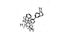 CN1C(=O)C(c2ccccc2)(c2cccc(-c3ccc4[nH]ccc4c3)c2)N(OC(=O)C(F)(F)F)C1N